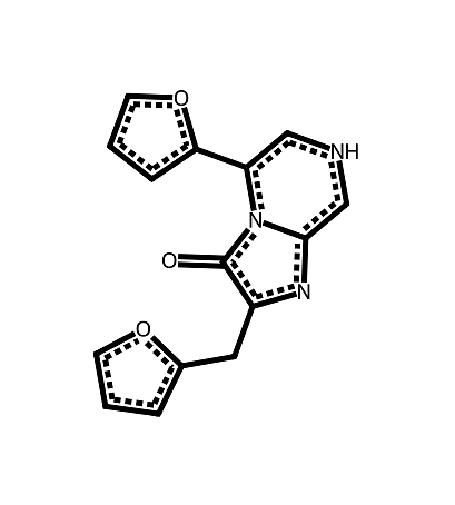 O=c1c(Cc2ccco2)nc2c[nH]cc(-c3ccco3)n1-2